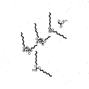 CCCCCCCCOP(=O)([O-])OP(=O)([O-])OCCCC.CCCCCCCCOP(=O)([O-])OP(=O)([O-])OCCCC.CCCCCCCCOP(O)OCCCCCCCC.CCCCCCCCOP(O)OCCCCCCCC.O=CC(=O)[O-].[Ti+4]